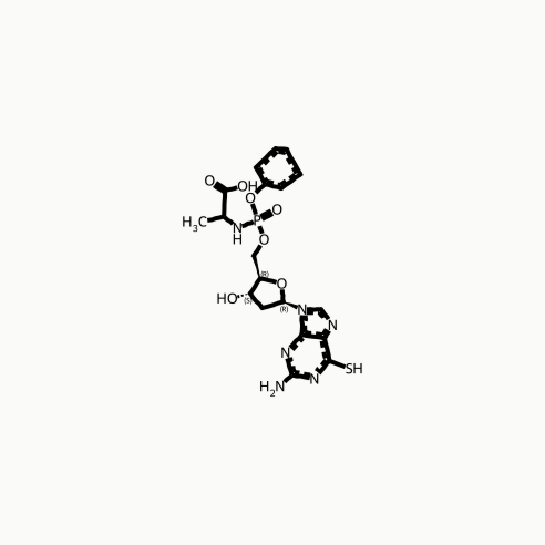 CC(NP(=O)(OC[C@H]1O[C@@H](n2cnc3c(S)nc(N)nc32)C[C@@H]1O)Oc1ccccc1)C(=O)O